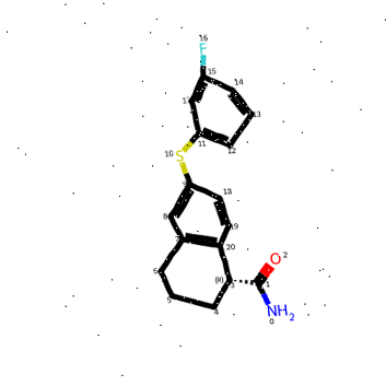 NC(=O)[C@@H]1CCCc2cc(Sc3cccc(F)c3)ccc21